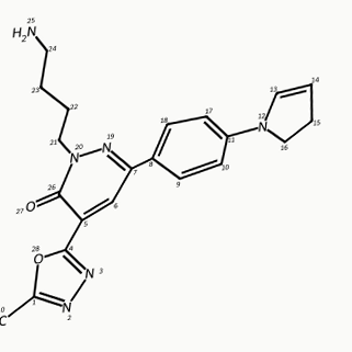 Cc1nnc(-c2cc(-c3ccc(N4C=CCC4)cc3)nn(CCCCN)c2=O)o1